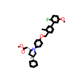 COC(=O)C[C@H]1C[C@@H](c2ccccc2)CN1c1ccc(OCc2ccc(-c3cc(OC)ccc3F)cc2C)cc1